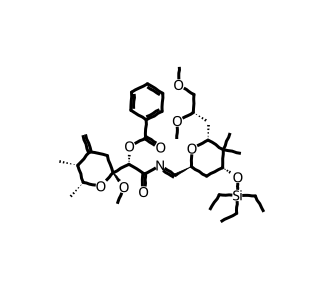 C=C1C[C@](OC)([C@H](OC(=O)c2ccccc2)C(=O)/N=C/[C@@H]2C[C@@H](O[Si](CC)(CC)CC)C(C)(C)[C@@H](C[C@@H](COC)OC)O2)O[C@H](C)[C@@H]1C